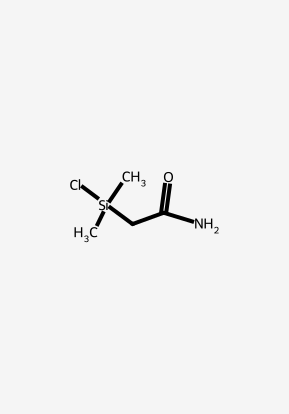 C[Si](C)(Cl)CC(N)=O